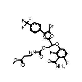 COC(=O)CCNC(=O)OCC(Oc1ccc(F)c(C(N)=O)c1F)c1nc(-c2ccc(C(F)(F)F)cc2)c(Br)o1